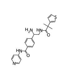 CC(C)(C(=O)NCC(N)c1ccc(C(=O)Nc2ccncc2)cc1)c1ccsc1